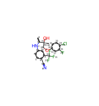 C=C(Nc1ccc(C#N)c(C(F)(F)F)c1)[C@](C)(O)COc1ccc(Cl)c(F)c1